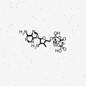 CC1C(COP(=O)(O)OP(=O)(O)OP(=O)(O)O)OC(n2cnc3c(N)ncnc32)C1N